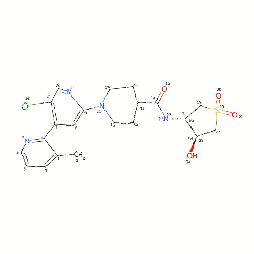 Cc1cccnc1-c1cc(N2CCC(C(=O)N[C@@H]3CS(=O)(=O)C[C@H]3O)CC2)ncc1Cl